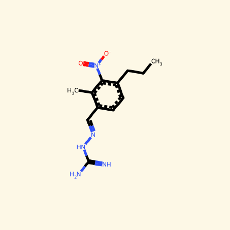 CCCc1ccc(C=NNC(=N)N)c(C)c1[N+](=O)[O-]